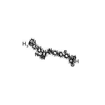 CCC1(c2ncccn2)CCN(c2ccc(-c3nc(-c4cnn([C@H]5CC[C@@H](N6CCC(c7ccc(N[C@H]8CCC(=O)NC8=O)cc7F)CC6)CC5)c4)cn4ncc(C#N)c34)cn2)CC1